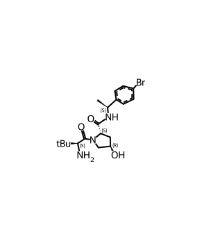 C[C@H](NC(=O)[C@@H]1C[C@@H](O)CN1C(=O)[C@@H](N)C(C)(C)C)c1ccc(Br)cc1